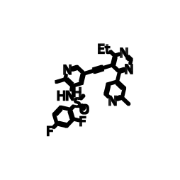 CCc1ncnc(-c2ccnc(C)c2)c1C#Cc1cnc(C)c(N[SH](C)(=O)c2ccc(F)cc2F)c1